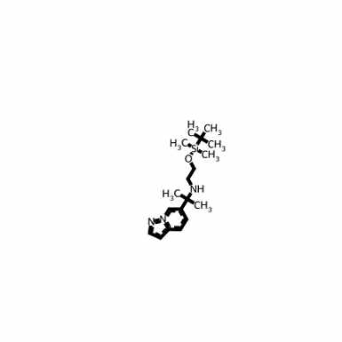 CC(C)(NCCO[Si](C)(C)C(C)(C)C)c1ccc2ccnn2c1